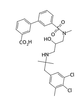 Cc1cc(CC(C)(C)NCC(O)CN(C)S(=O)(=O)c2cccc(-c3cccc(C(=O)O)c3)c2)cc(Cl)c1Cl